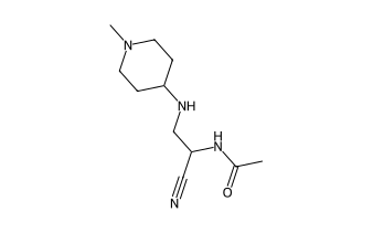 CC(=O)NC(C#N)CNC1CCN(C)CC1